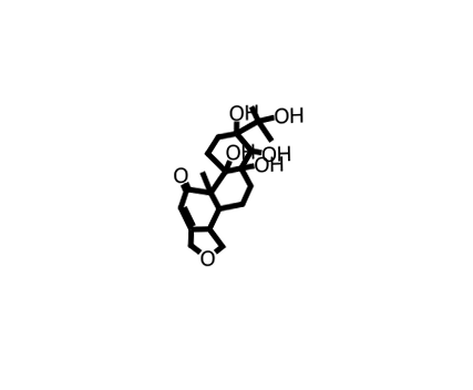 CC(C)(O)C1(O)CCC2(O)C(O)(CCC3C4COCC4=CC(=O)C32C)C1O